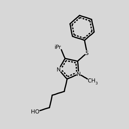 CC(C)c1nc(CCCO)n(C)c1Sc1ccccc1